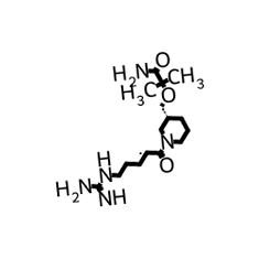 CC(C)(OC[C@@H]1CCCN(C(=O)[CH]CCCNC(=N)N)C1)C(N)=O